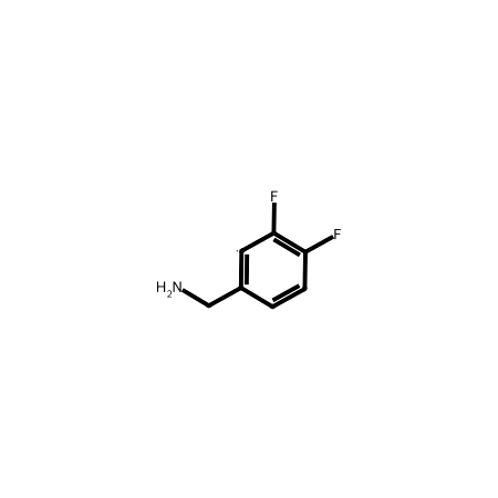 NCc1[c]c(F)c(F)cc1